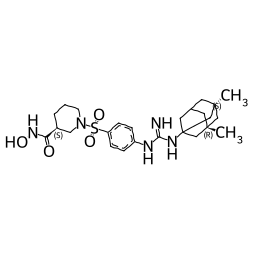 C[C@]12CC3CC(NC(=N)Nc4ccc(S(=O)(=O)N5CCC[C@H](C(=O)NO)C5)cc4)(C1)C[C@@](C)(C3)C2